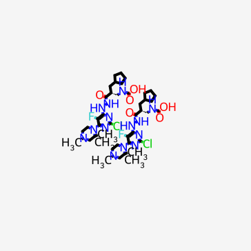 CN1CCN(c2nc(Cl)nc(NNC(=O)[C@@H](CNC(=O)O)CC3CCCC3)c2F)C(C)(C)C1.CN1CCN(c2nc(Cl)nc(NNC(=O)[C@@H](CNC(=O)O)CC3CCCC3)c2F)C(C)(C)C1